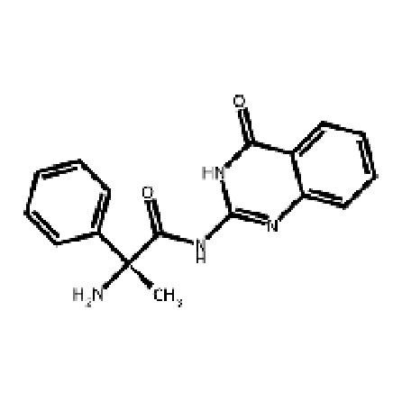 C[C@](N)(C(=O)Nc1nc2ccccc2c(=O)[nH]1)c1ccccc1